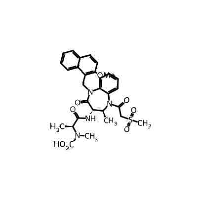 COc1ccc2ccccc2c1CN1C(=O)[C@@H](NC(=O)[C@H](C)N(C)C(=O)O)[C@H](C)N(C(=O)CS(C)(=O)=O)c2ccccc21